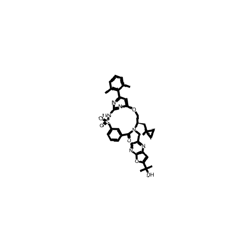 Cc1cccc(C)c1-c1cc2nc(n1)NS(=O)(=O)c1cccc(c1)C(=O)N(Cc1cnc3oc(C(C)(C)O)cc3n1)[C@H](CC1(C)CC1)CO2